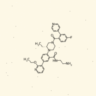 CCOc1ncccc1-c1ccc(N2CCN(C(=O)c3ccc(F)cc3-c3ccncc3)C[C@H]2CC)c(C(=O)NCCN)c1